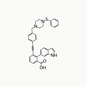 O=C(O)c1cccc(C#Cc2ccc(CN3CCN(Sc4ccccc4)CC3)cc2)c1-c1ccc2cc[nH]c2c1